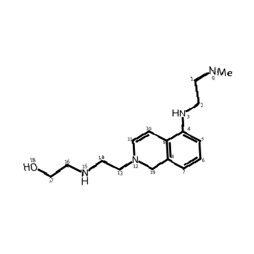 CNCCNc1cccc2c1C=CN(CCNCCO)C2